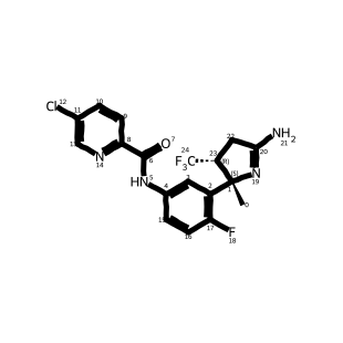 C[C@]1(c2cc(NC(=O)c3ccc(Cl)cn3)ccc2F)N=C(N)C[C@H]1C(F)(F)F